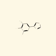 Oc1c(Br)cc(-c2cs[c]n2)cc1Br